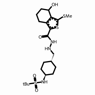 CSc1sc(C(=O)NNC[C@H]2CC[C@H](NS(=O)(=O)C(C)(C)C)CC2)c2c1C(O)CCC2